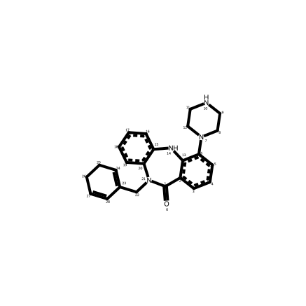 O=C1c2cccc(N3CCNCC3)c2Nc2ccccc2N1CC1=CCCC=C1